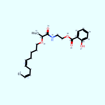 CC/C=C\C/C=C\CCCCOC(OC)C(=O)NCCOC(=O)c1ccccc1O